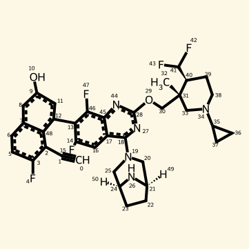 C#Cc1c(F)ccc2cc(O)cc(-c3c(F)cc4c(N5C[C@H]6CC[C@@H](C5)N6)nc(OC[C@@]5(C)CN(C6CC6)CC[C@@H]5C(F)F)nc4c3F)c12